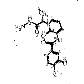 CC(C(=O)NN)n1cccc(NC(=O)c2ccc(N)c(Cl)c2)c1=O